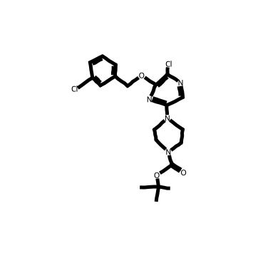 CC(C)(C)OC(=O)N1CCN(c2cnc(Cl)c(OCc3cccc(Cl)c3)n2)CC1